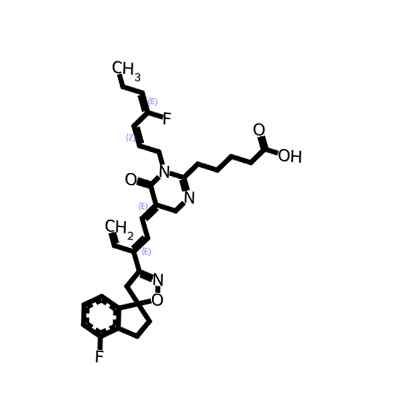 C=C/C(=C\C=C1/CN=C(CCCCC(=O)O)N(C/C=C\C(F)=C/CC)C1=O)C1=NOC2(CCc3c(F)cccc32)C1